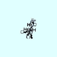 C=CCCO[PH](O)(NCCNC(=O)C(F)(F)F)N(CCCl)CCCl